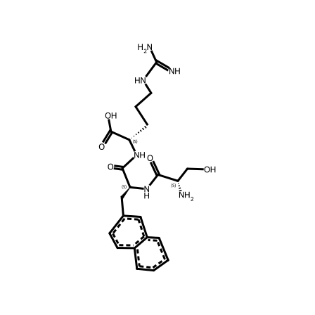 N=C(N)NCCC[C@H](NC(=O)[C@H](Cc1ccc2ccccc2c1)NC(=O)[C@@H](N)CO)C(=O)O